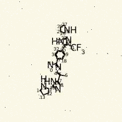 C=N/C(=N\C=C(/C)c1cnc([C@@H]2CCCN2)[nH]1)c1ccc(-c2[nH]c([C@@H]3CCCN3)nc2C(F)(F)F)cc1